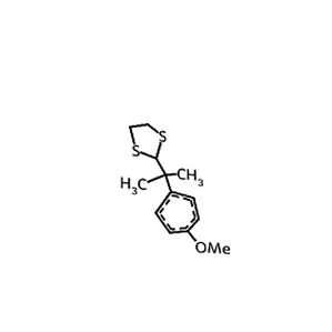 COc1ccc(C(C)(C)C2SCCS2)cc1